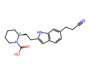 N#CCCc1ccc2cc(CC[C@@H]3CCCCN3C(=O)O)[nH]c2c1